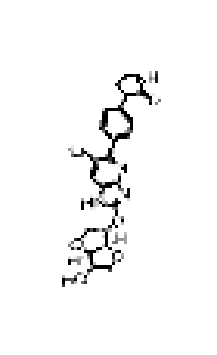 O=C1NCCC1c1ccc(-c2nc3nc(O[C@@H]4CO[C@H]5[C@@H]4OC[C@H]5O)[nH]c3cc2Cl)cc1